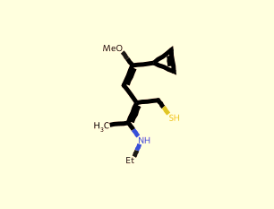 CCN/C(C)=C(/C=C(/OC)C1C=C1)CS